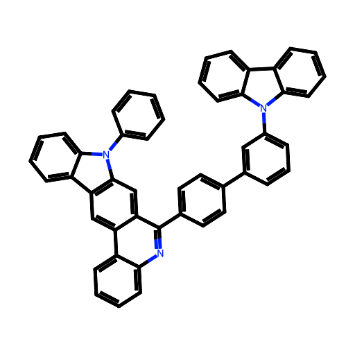 c1ccc(-n2c3ccccc3c3cc4c(cc32)c(-c2ccc(-c3cccc(-n5c6ccccc6c6ccccc65)c3)cc2)nc2ccccc24)cc1